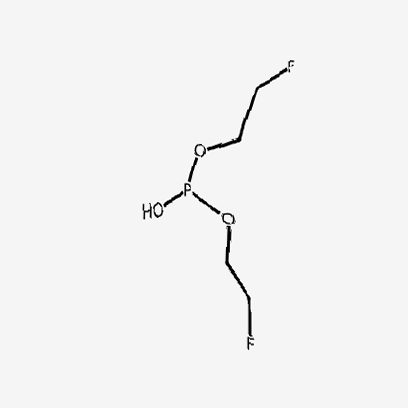 OP(OCCF)OCCF